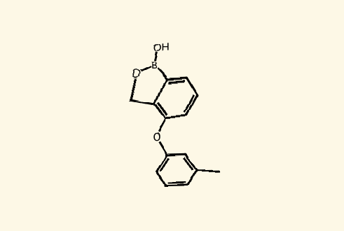 Cc1cccc(Oc2cccc3c2COB3O)c1